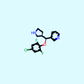 Fc1cc(Cl)cc(F)c1O[C@H](c1cccnc1)[C@@H]1CCNC1